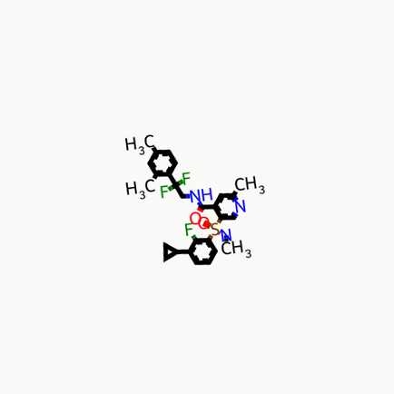 CN=S(=O)(c1cnc(C)cc1C(=O)NCC(F)(F)c1ccc(C)cc1C)c1cccc(C2CC2)c1F